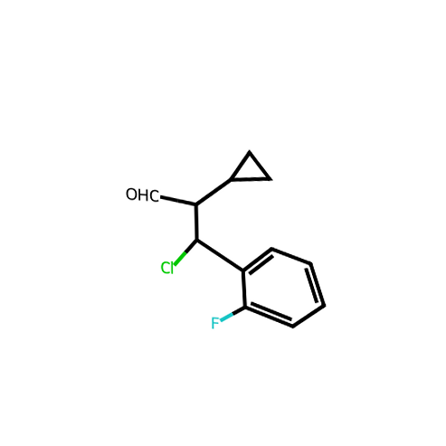 O=CC(C1CC1)C(Cl)c1ccccc1F